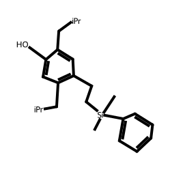 CC(C)Cc1cc(CC[Si](C)(C)c2ccccc2)c(CC(C)C)cc1O